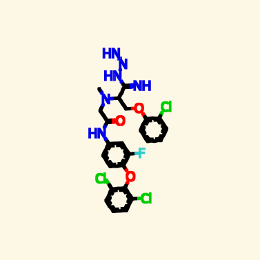 CN(CC(=O)Nc1ccc(Oc2c(Cl)cccc2Cl)c(F)c1)C(COc1ccccc1Cl)C(=N)NN=N